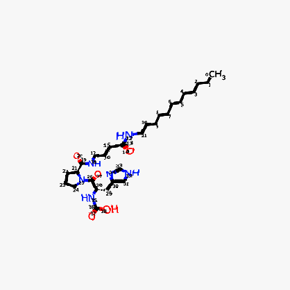 CCCCCCCCCCCCNC(=O)CCCNC(=O)[C@@H]1CCCN1C(=O)[C@H](Cc1c[nH]cn1)NC(=O)O